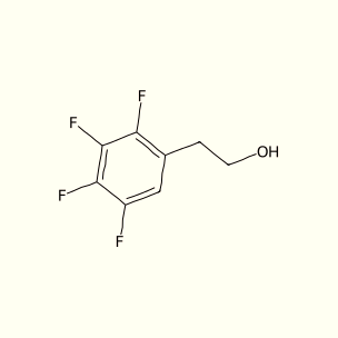 OCCc1cc(F)c(F)c(F)c1F